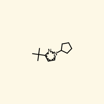 CC(C)(C)c1ccn(C2CCCC2)n1